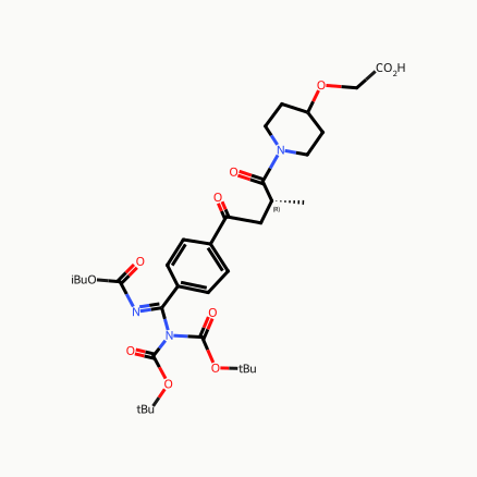 CC(C)COC(=O)N=C(c1ccc(C(=O)C[C@@H](C)C(=O)N2CCC(OCC(=O)O)CC2)cc1)N(C(=O)OC(C)(C)C)C(=O)OC(C)(C)C